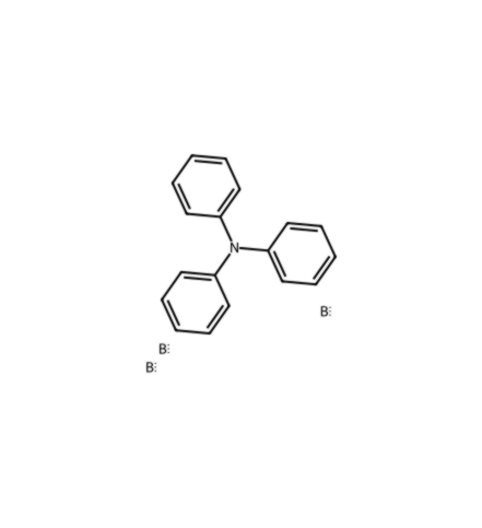 [B].[B].[B].c1ccc(N(c2ccccc2)c2ccccc2)cc1